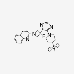 CS(=O)(=O)C1CCN(c2nccnc2C2(F)CN(c3ccc4ccccc4n3)C2)CC1